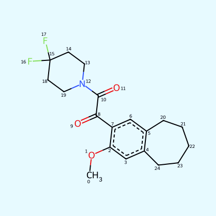 COc1cc2c(cc1C(=O)C(=O)N1CCC(F)(F)CC1)CCCCC2